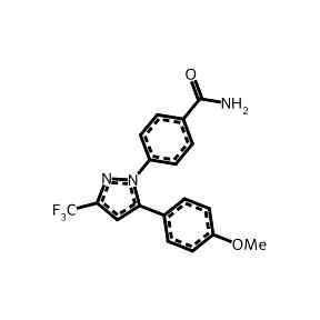 COc1ccc(-c2cc(C(F)(F)F)nn2-c2ccc(C(N)=O)cc2)cc1